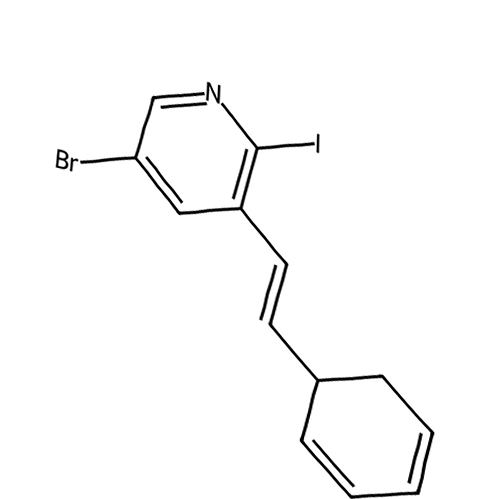 Brc1cnc(I)c(/C=C/C2C=CC=CC2)c1